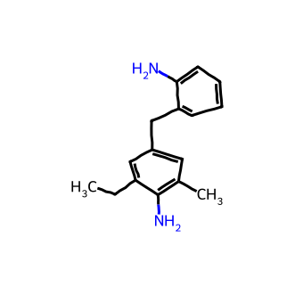 CCc1cc(Cc2ccccc2N)cc(C)c1N